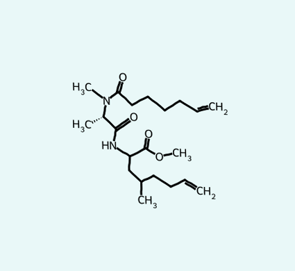 C=CCCCCC(=O)N(C)[C@@H](C)C(=O)NC(CC(C)CCC=C)C(=O)OC